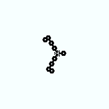 c1ccc(-c2nc(-c3ccc(-c4ccc(-c5cccc6ccccc56)cc4)cc3)nc(-c3ccc(-c4ccc(-c5cccc6ccccc56)cc4)cc3)n2)cc1